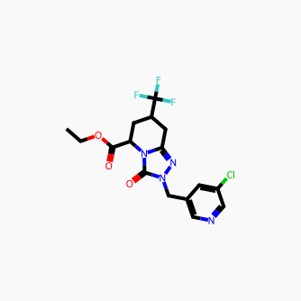 CCOC(=O)C1CC(C(F)(F)F)Cc2nn(Cc3cncc(Cl)c3)c(=O)n21